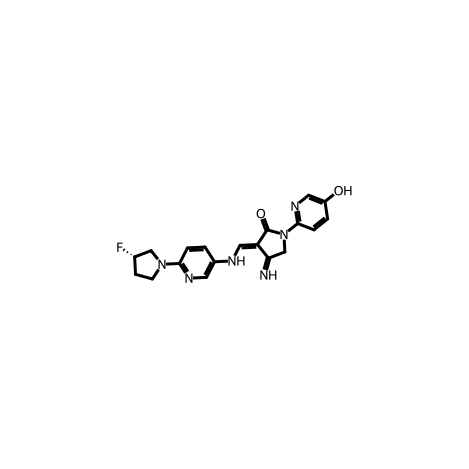 N=C1CN(c2ccc(O)cn2)C(=O)/C1=C/Nc1ccc(N2CC[C@H](F)C2)nc1